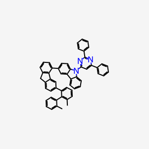 Cc1ccccc1-c1c(C)cccc1-c1ccc2c(c1)-c1c(cccc1-c1ccc3c(c1)c1ccccc1n3-c1cc(-c3ccccc3)nc(-c3ccccc3)n1)C2